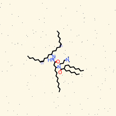 CCCCC/C=C\CCCC(CCC/C=C\CCCCC)=NNC(=O)CC(CCCCCCCCC)N(CCCN(C)C)C(=O)C(CCCCCC)CCCCCCCC